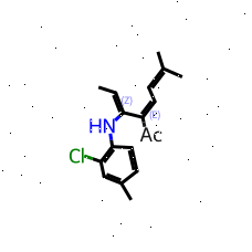 C/C=C(Nc1ccc(C)cc1Cl)/C(=C\C=C(C)C)C(C)=O